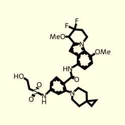 COc1ccc(NC(=O)c2ccc(NS(=O)(=O)CCO)cc2N2CCC3(CC2)CC3)c2cc3n(c12)CCC(F)(F)C3OC